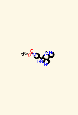 CN1Cc2c(C3=CCN(C(=O)OC(C)(C)C)CC3)[nH]c3nccc(c23)-c2cccnc21